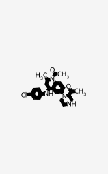 CC(=O)C1CNCCN1c1ccc2c(c1)C(Nc1ccc(Cl)cc1)CC(C)N2C(C)=O